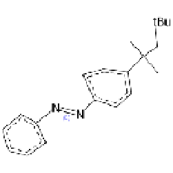 CC(C)(C)CC(C)(C)c1ccc(/N=N/c2ccccc2)cc1